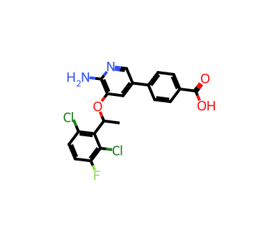 CC(Oc1cc(-c2ccc(C(=O)O)cc2)cnc1N)c1c(Cl)ccc(F)c1Cl